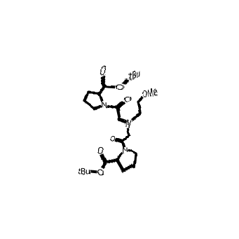 COCCN(CC(=O)N1CCCC1C(=O)OC(C)(C)C)CC(=O)N1CCCC1C(=O)OC(C)(C)C